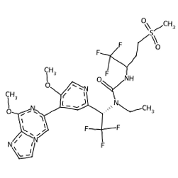 CCN(C(=O)NC(CCS(C)(=O)=O)C(F)(F)F)[C@@H](c1cc(-c2cn3ccnc3c(OC)n2)c(OC)cn1)C(F)(F)F